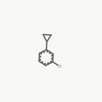 Clc1cccc([C]2CC2)c1